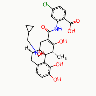 C[C@H]1C(O)=C(C(=O)Nc2cc(Cl)ccc2C(=O)O)C[C@@]2(O)[C@H]3Cc4ccc(O)c(O)c4[C@@]12CCN3CC1CC1